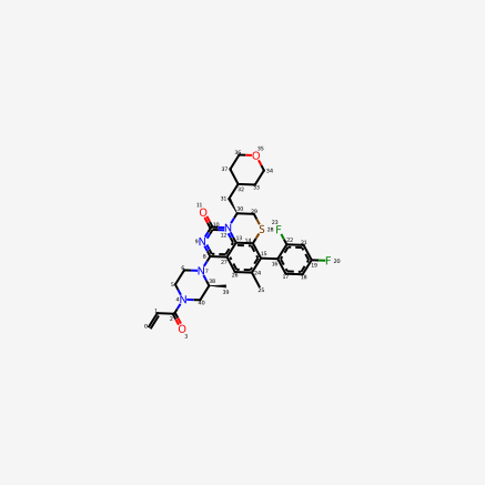 C=CC(=O)N1CCN(c2nc(=O)n3c4c(c(-c5ccc(F)cc5F)c(C)cc24)SC[C@@H]3CC2CCOCC2)[C@@H](C)C1